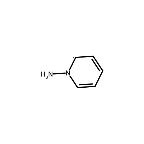 NN1[CH]C=CC=C1